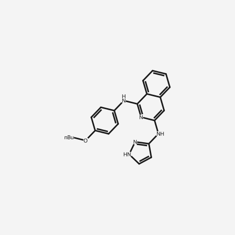 CCCCOc1ccc(Nc2nc(Nc3cc[nH]n3)cc3ccccc23)cc1